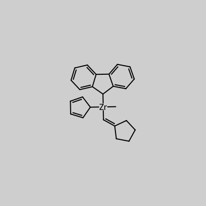 [CH3][Zr]([CH]=C1CCCC1)([CH]1C=CC=C1)[CH]1c2ccccc2-c2ccccc21